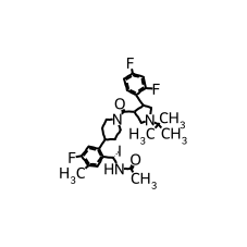 CC(=O)N[C@@H](I)c1cc(C)c(F)cc1C1CCN(C(=O)C2CN(C(C)(C)C)CC2c2ccc(F)cc2F)CC1